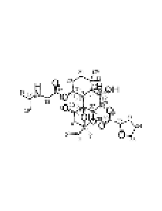 C=C[C@@]1(C)CC(=O)[C@]2(O)[C@@]3(C)[C@@H](OC(=O)CNC(C)C)CCC(C)(C)[C@@H]3[C@H](O)[C@H](OC(=O)C3CCCO3)[C@@]2(C)O1